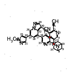 C#Cc1ncc(CN2C3CC2CN(c2ccc(-c4cc(-c5cnn(C)c5)cn5ncc(C#N)c45)cn2)C3)cc1F